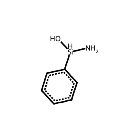 N[SiH](O)c1ccccc1